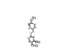 CCOc1ccc(CCc2ccc(C=O)c(O)c2)cn1